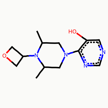 CC1CN(c2ncncc2O)CC(C)N1C1COC1